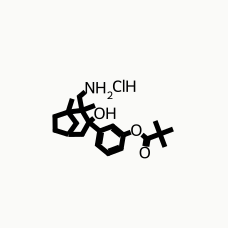 CC(C)(C)C(=O)Oc1cccc(C2(O)CC3CCC(C)(C3)C2(C)CN)c1.Cl